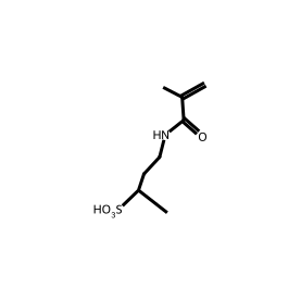 C=C(C)C(=O)NCCC(C)S(=O)(=O)O